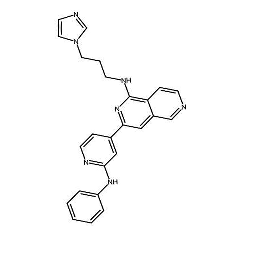 c1ccc(Nc2cc(-c3cc4cnccc4c(NCCCn4ccnc4)n3)ccn2)cc1